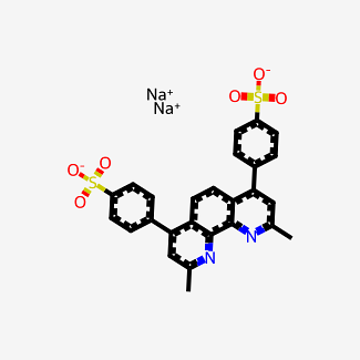 Cc1cc(-c2ccc(S(=O)(=O)[O-])cc2)c2ccc3c(-c4ccc(S(=O)(=O)[O-])cc4)cc(C)nc3c2n1.[Na+].[Na+]